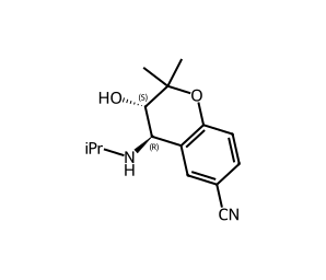 CC(C)N[C@@H]1c2cc(C#N)ccc2OC(C)(C)[C@H]1O